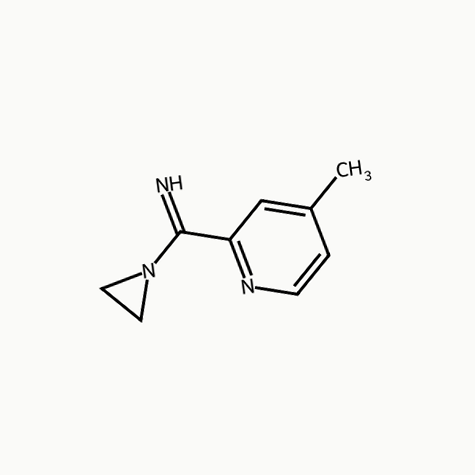 Cc1ccnc(C(=N)N2CC2)c1